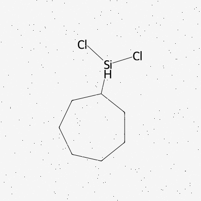 Cl[SiH](Cl)C1CCCCCC1